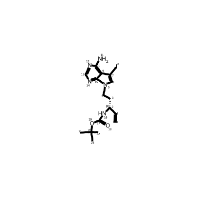 C=C[C@@H](CCn1cc(I)c2c(N)ncnc21)NC(=O)OC(C)(C)C